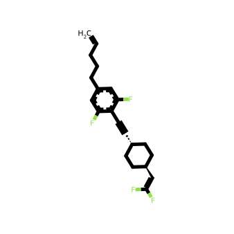 C=CCCCc1cc(F)c(C#C[C@H]2CC[C@H](C=C(F)F)CC2)c(F)c1